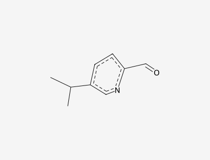 CC(C)c1ccc(C=O)nc1